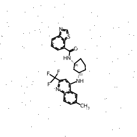 Cc1ccc2nc(C(F)(F)F)cc(N[C@H]3CCC[C@@H](NC(=O)c4cccc5ncsc45)C3)c2c1